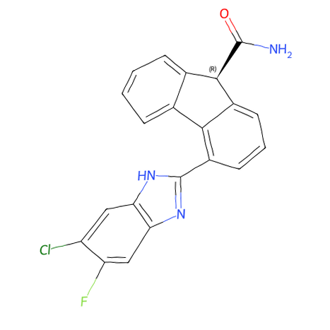 NC(=O)[C@@H]1c2ccccc2-c2c(-c3nc4cc(F)c(Cl)cc4[nH]3)cccc21